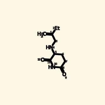 C=C(CC)CNC1CCC(=O)NC1=O